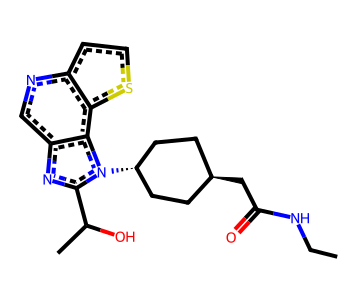 CCNC(=O)C[C@H]1CC[C@H](n2c(C(C)O)nc3cnc4ccsc4c32)CC1